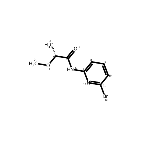 CO[C@H](C)C(=O)Nc1cccc(Br)n1